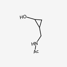 CC(=O)NCC1CC1O